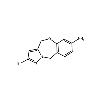 Nc1ccc2c(c1)OCc1cc(Br)nn1C2